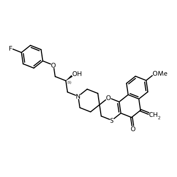 C=C1C(=O)C2=C(OC3(CCN(C[C@H](O)COc4ccc(F)cc4)CC3)CS2)c2ccc(OC)cc21